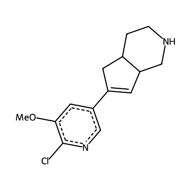 COc1cc(C2=CC3CNCCC3C2)cnc1Cl